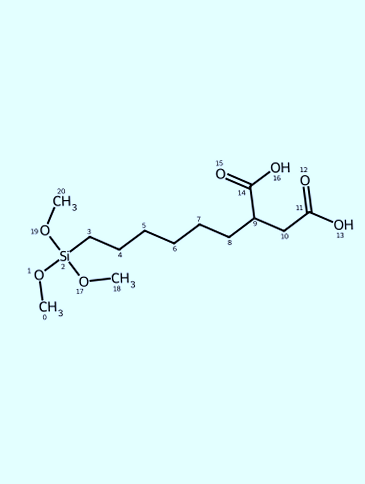 CO[Si](CCCCCCC(CC(=O)O)C(=O)O)(OC)OC